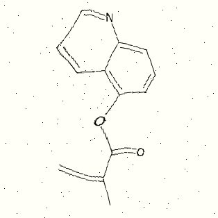 C=C(C)C(=O)Oc1cccc2ncccc12